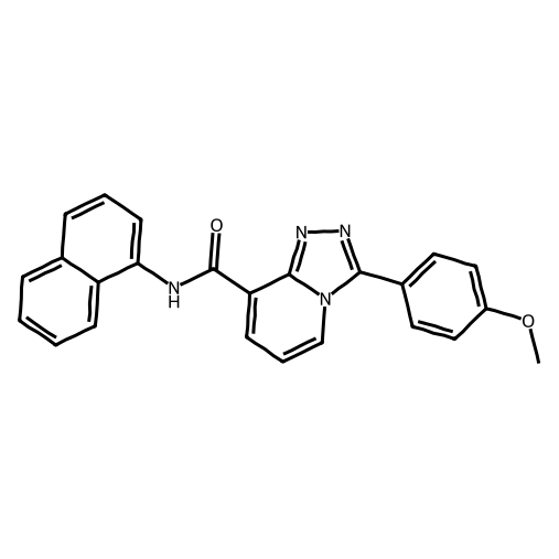 COc1ccc(-c2nnc3c(C(=O)Nc4cccc5ccccc45)cccn23)cc1